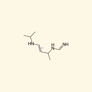 CC(C)N/C=C/C(C)NC=N